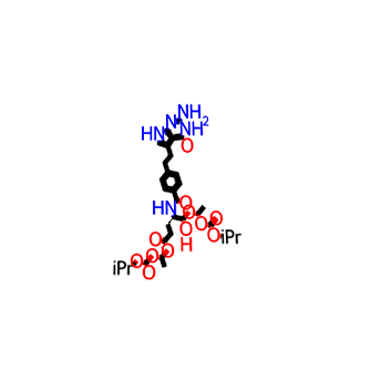 CC(C)OC(=O)OC(C)OC(=O)CC[C@H](NC(=O)c1ccc(CCc2c[nH]c3nc(N)[nH]c(=O)c23)cc1)C(O)OC(C)OC(=O)OC(C)C